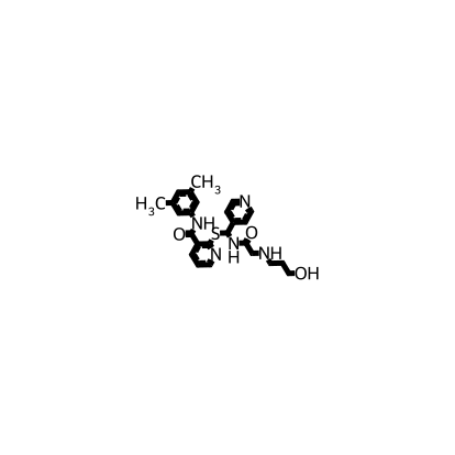 Cc1cc(C)cc(NC(=O)c2cccnc2SC(NC(=O)CNCCCO)c2ccncc2)c1